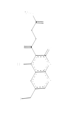 COC(=O)CCC(=O)c1c(O)c2cc(CI)cnc2[nH]c1=O